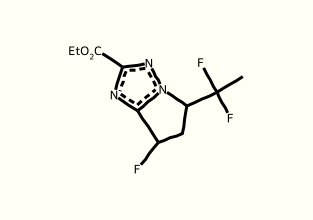 CCOC(=O)c1nc2n(n1)C(C(C)(F)F)CC2F